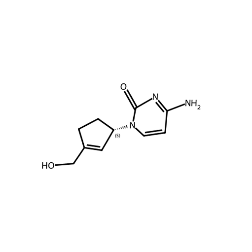 Nc1ccn([C@@H]2C=C(CO)CC2)c(=O)n1